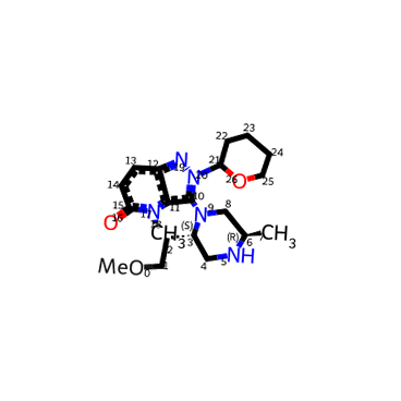 COCC[C@H]1CN[C@H](C)CN1c1c2c(ccc(=O)n2C)nn1C1CCCCO1